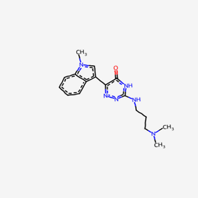 CN(C)CCCNc1nnc(-c2cn(C)c3ccccc23)c(=O)[nH]1